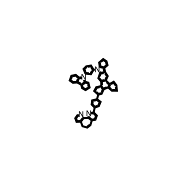 C1=Cc2ccc(-c3ccc(-c4ccc5c(c4)c4ccccc4c4cc6c7ccccc7n(-c7cccc(-n8c9ccccc9c9ccccc98)c7)c6cc54)cc3)nc2-c2ncccc2C1